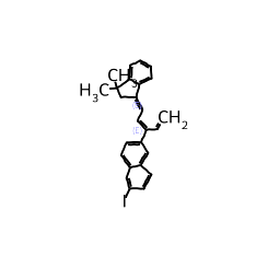 C=C/C(=C\C=C1/CC(C)(C)c2ccccc21)c1ccc2cc(I)ccc2c1